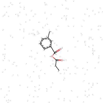 CCC(=O)OC(=O)c1cccc(C)c1